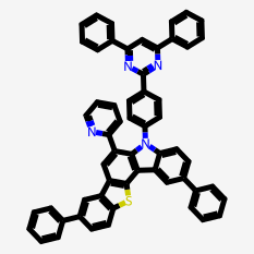 c1ccc(-c2ccc3sc4c(cc(-c5ccccn5)c5c4c4cc(-c6ccccc6)ccc4n5-c4ccc(-c5nc(-c6ccccc6)cc(-c6ccccc6)n5)cc4)c3c2)cc1